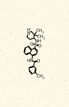 Cc1cccc(C(=O)Nc2ccc(S(=O)(=O)NC3CCNCC3(C)C)c3ccccc23)c1